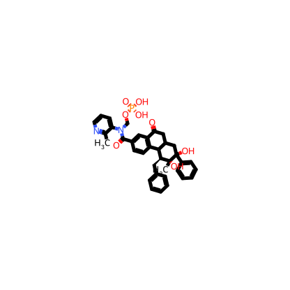 Cc1ncccc1N(COP(=O)(O)O)C(=O)c1ccc2c(c1)C(=O)CC1CC(O)(c3ccccc3)C(C)(O)[C@@H](Cc3ccccc3)C21